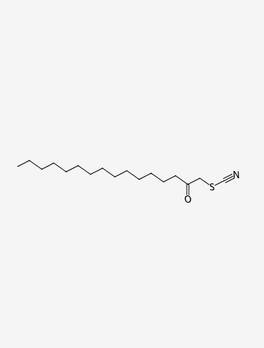 CCCCCCCCCCCCCCC(=O)CSC#N